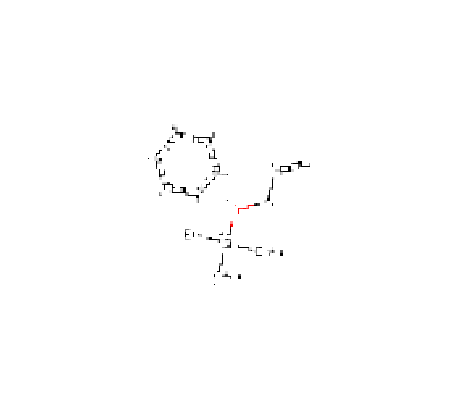 C=CCO[Si](CC)(OC)OC.c1ccccc1